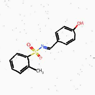 Cc1ccccc1S(=O)(=O)/N=C/c1ccc(O)cc1